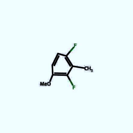 COc1ccc(F)c(C)c1F